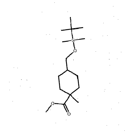 COC(=O)C1(C)CCC(CO[Si](C)(C)C(C)(C)C)CC1